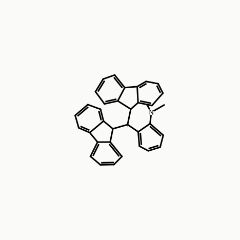 CN(C)c1ccccc1[C](C1c2ccccc2-c2ccccc21)C1c2ccccc2-c2ccccc21